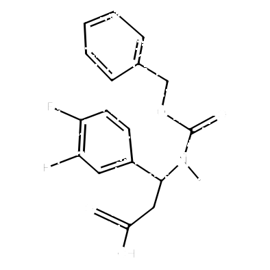 CN(C(=O)OCc1ccccc1)C(CC(=O)O)c1ccc(F)c(F)c1